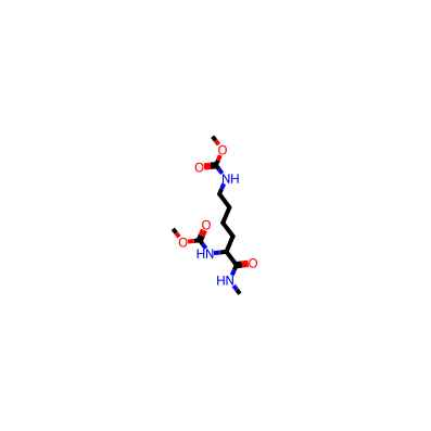 CNC(=O)C(CCCCNC(=O)OC)NC(=O)OC